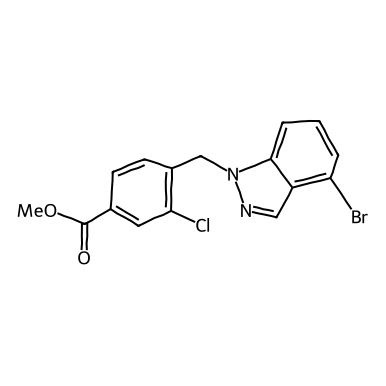 COC(=O)c1ccc(Cn2ncc3c(Br)cccc32)c(Cl)c1